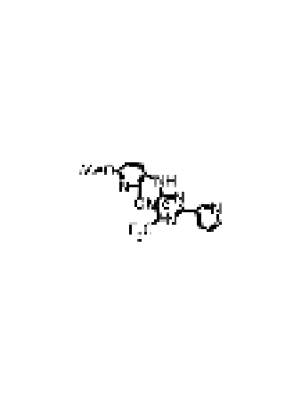 COc1ccc(Nc2cc(C(F)(F)F)nc(-c3cccnc3)n2)c(OC)n1